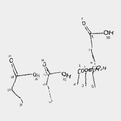 CC(=O)O.CC(=O)O.CC(=O)O.CCC(=O)O.CCC(=O)O.CCC(=O)O